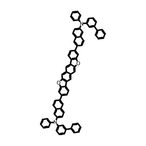 c1ccc(-c2cccc(N(c3ccccc3)c3ccc4cc(-c5ccc6c(c5)oc5cc7cc8c(cc7cc56)oc5cc(-c6ccc7cc(N(c9ccccc9)c9cccc(-c%10ccccc%10)c9)ccc7c6)ccc58)ccc4c3)c2)cc1